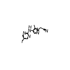 Cc1c(Nc2ncc(I)cn2)cnn1CC#N